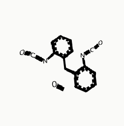 C=O.O=C=Nc1ccccc1Cc1ccccc1N=C=O